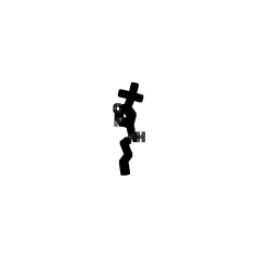 C=CCCNc1cc(C(C)(C)C)on1